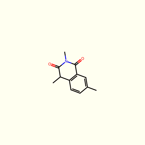 Cc1ccc2c(c1)C(=O)N(C)C(=O)C2C